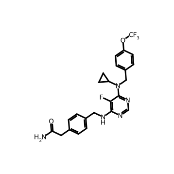 NC(=O)Cc1ccc(CNc2ncnc(N(Cc3ccc(OC(F)(F)F)cc3)C3CC3)c2F)cc1